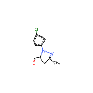 CC1=NN(c2ccc(Cl)cc2)C(C=O)C1